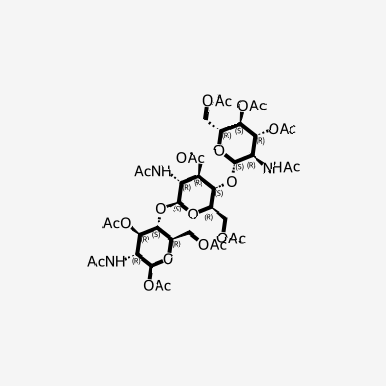 CC(=O)N[C@H]1[C@H](O[C@H]2[C@H](OC(C)=O)[C@@H](NC(C)=O)[C@H](O[C@H]3[C@H](OC(C)=O)[C@@H](NC(C)=O)C(OC(C)=O)O[C@@H]3COC(C)=O)O[C@@H]2COC(C)=O)O[C@H](COC(C)=O)[C@@H](OC(C)=O)[C@@H]1OC(C)=O